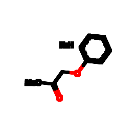 COC(=O)COc1ccccc1.[NaH]